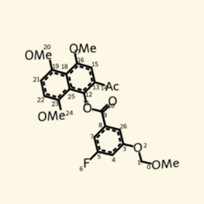 COCOc1cc(F)cc(C(=O)Oc2c(C(C)=O)cc(OC)c3c(OC)ccc(OC)c23)c1